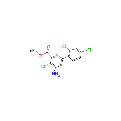 CCCOC(=O)c1nc(-c2ccc(Cl)cc2Cl)cc(N)c1Cl